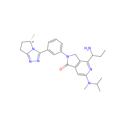 CCC(N)c1nc(N(C)C(C)C)cc2c1CN(c1cccc(-c3nnc4n3[C@@H](C)CC4)c1)C2=O